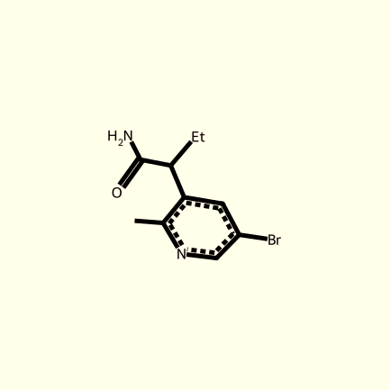 CCC(C(N)=O)c1cc(Br)cnc1C